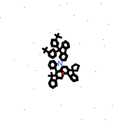 CC(C)(C)c1cccc(C2(c3cccc(C(C)(C)C)c3)c3ccccc3-c3ccc(N(c4ccc5c(c4)C4(CCCC4)c4ccccc4-5)c4ccccc4-c4cccc5c4C(C)(C)c4ccccc4-5)cc32)c1